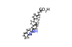 CC12CCC3C(CCC4C[C@H](Nc5ccc6ccccc6n5)CCC43C)C1CCC2CCCC(=O)O